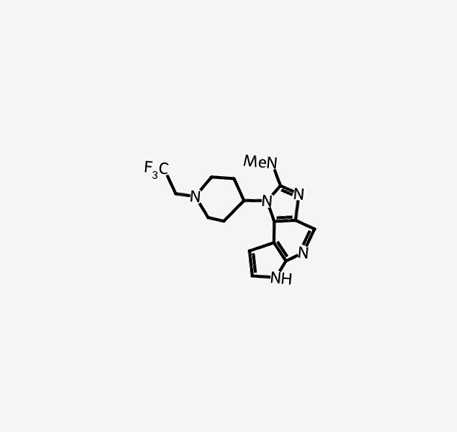 CNc1nc2cnc3[nH]ccc3c2n1C1CCN(CC(F)(F)F)CC1